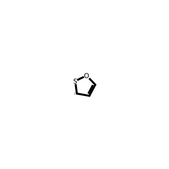 [C]1C=COS1